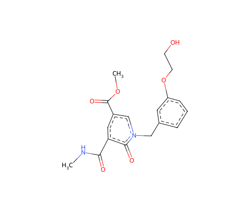 CNC(=O)c1cc(C(=O)OC)cn(Cc2cccc(OCCO)c2)c1=O